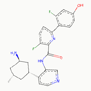 C[C@@H]1C[C@@H](N)C[C@H](c2ccncc2NC(=O)c2nc(-c3ccc(O)cc3F)ccc2F)C1